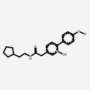 CCOc1ccc(-c2ccc(CC(=O)NCCC3CCCC3)c[n+]2O)cc1